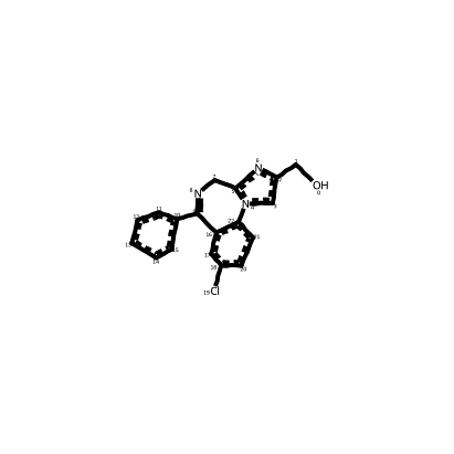 OCc1cn2c(n1)CN=C(c1ccccc1)c1cc(Cl)ccc1-2